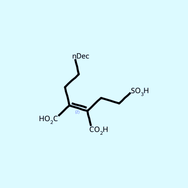 CCCCCCCCCCCC/C(C(=O)O)=C(\CCS(=O)(=O)O)C(=O)O